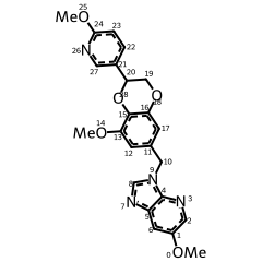 COc1cnc2c(c1)ncn2Cc1cc(OC)c2c(c1)OCC(c1ccc(OC)nc1)O2